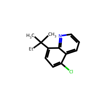 CCC(C)(C)c1ccc(Cl)c2cccnc12